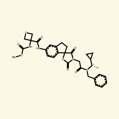 C[C@@H](C1CC1)N(Cc1ccccc1)C(=O)CN1C(=O)OC2(CCc3cc(NC(=O)C4(NC(=O)OC(C)(C)C)COC4)ccc32)C1=O